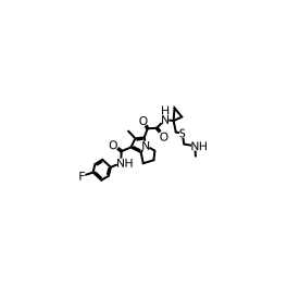 CNCSCC1(NC(=O)C(=O)c2c(C)c(C(=O)Nc3ccc(F)cc3)c3n2CCC3)CC1